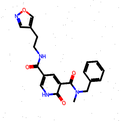 CN(Cc1ccccc1)C(=O)c1cc(C(=O)NCCc2cnoc2)c[nH]c1=O